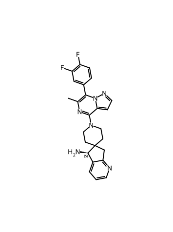 Cc1nc(N2CCC3(CC2)Cc2ncccc2[C@H]3N)c2ccnn2c1-c1ccc(F)c(F)c1